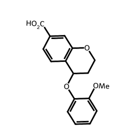 COc1ccccc1OC1CCOc2cc(C(=O)O)ccc21